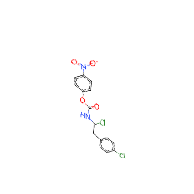 O=C(NC(Cl)Cc1ccc(Cl)cc1)Oc1ccc([N+](=O)[O-])cc1